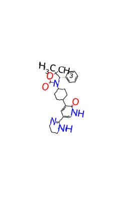 CC1(C)OC(=O)N(C2CCC(c3cc(C4=NCCCN4)c[nH]c3=O)CC2)[C@H]1c1ccccc1